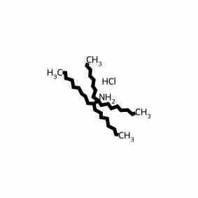 CCCCCCCCCC(CCCCCCCC)C(N)(CCCCCCCC)CCCCCCCC.Cl